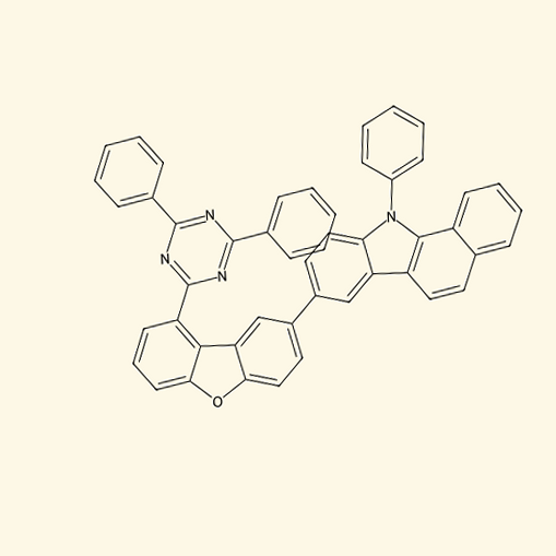 c1ccc(-c2nc(-c3ccccc3)nc(-c3cccc4oc5ccc(-c6ccc7c(c6)c6ccc8ccccc8c6n7-c6ccccc6)cc5c34)n2)cc1